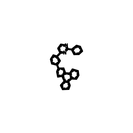 c1ccc(-c2nccc(-c3cccc(-c4ccc5c6ccccc6c6ccccc6c5c4)c3)n2)cc1